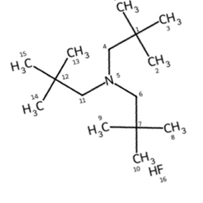 CC(C)(C)CN(CC(C)(C)C)CC(C)(C)C.F